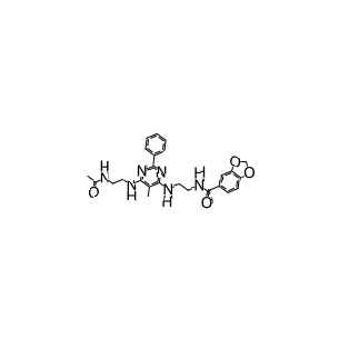 CC(=O)NCCNc1nc(-c2ccccc2)nc(NCCNC(=O)c2ccc3c(c2)OCO3)c1C